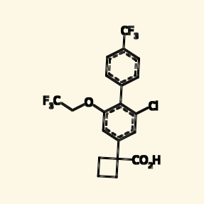 O=C(O)C1(c2cc(Cl)c(-c3ccc(C(F)(F)F)cc3)c(OCC(F)(F)F)c2)CCC1